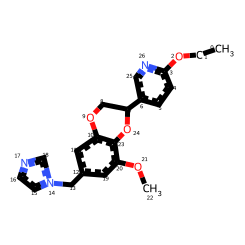 CCOc1ccc(C2COc3cc(Cn4ccnc4)cc(OC)c3O2)cn1